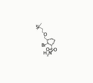 C[Si](C)(C)CCOCc1cccc(S(N)(=O)=O)c1Br